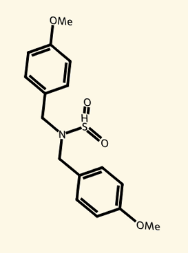 COc1ccc(CN(Cc2ccc(OC)cc2)[SH](=O)=O)cc1